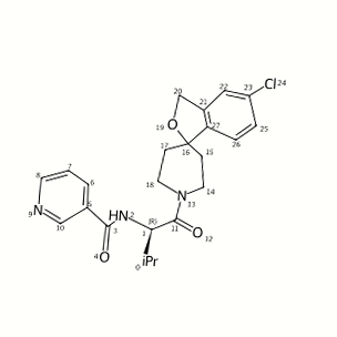 CC(C)[C@@H](NC(=O)c1cccnc1)C(=O)N1CCC2(CC1)OCc1cc(Cl)ccc12